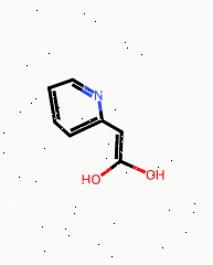 OC(O)=Cc1ccccn1